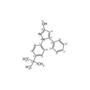 CC(C)(C)c1ccc(-n2nc(O)cc2-c2ccccc2)cc1